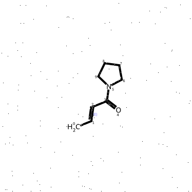 [CH2]/C=C/C(=O)N1CCCC1